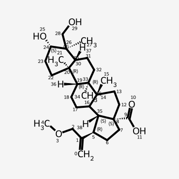 C=C(COC)[C@@H]1CC[C@]2(C(=O)O)CC[C@]3(C)C(CC[C@@H]4[C@@]5(C)CC[C@H](O)[C@@](C)(CO)[C@@H]5CC[C@]43C)[C@@H]12